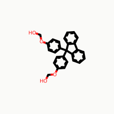 OCOc1ccc(C2(c3ccc(OCO)cc3)c3ccccc3-c3ccccc32)cc1